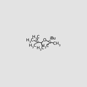 CC[C@@H](C)[Si](C)(C)OC(C)[Si](C)(C)C